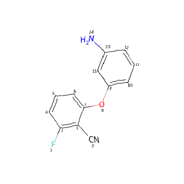 N#Cc1c(F)cccc1Oc1cccc(N)c1